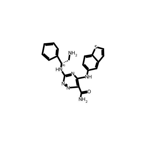 NC[C@H](Nc1nnc(C(N)=O)c(Nc2ccc3sccc3c2)n1)c1ccccc1